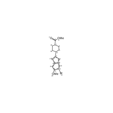 COC(=O)C1CCC(c2cn3cc(Br)c(OC)cc3n2)CC1